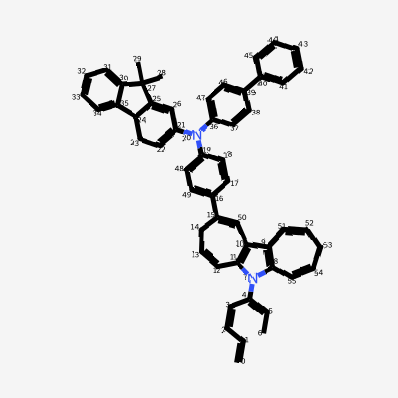 C=C/C=C\C(=C/C)n1c2c(c3c1C=CCC(c1ccc(N(C4=CCC5C(=C4)C(C)(C)c4ccccc45)c4ccc(-c5ccccc5)cc4)cc1)=C3)C=CCC=C2